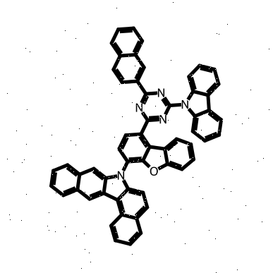 c1ccc2cc(-c3nc(-c4ccc(-n5c6cc7ccccc7cc6c6c7ccccc7ccc65)c5oc6ccccc6c45)nc(-n4c5ccccc5c5ccccc54)n3)ccc2c1